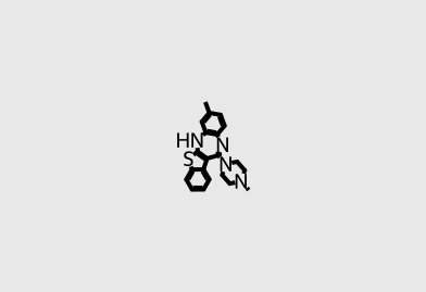 Cc1ccc2c(c1)Nc1sc3ccccc3c1C(N1CCN(C)CC1)=N2